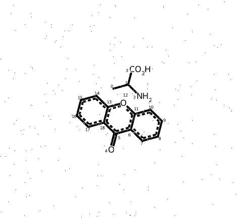 CC(N)C(=O)O.O=c1c2ccccc2oc2ccccc12